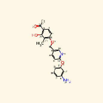 CCC(=O)c1ccc(OCc2ccc(Oc3cccc(N)c3)nc2)c(C)c1O